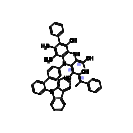 Bc1c(B)c2c(c(O)c1-c1ccccc1)NC(=C(/C)O)/C(=C(O)\C(O)=C(/C)c1ccccc1)N2c1ccc(-c2ccccc2-n2c3ccccc3c3ccccc32)cc1